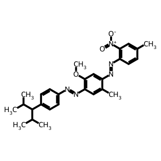 COc1cc(/N=N/c2ccc(C)cc2[N+](=O)[O-])c(C)cc1/N=N/c1ccc(C(C(C)C)C(C)C)cc1